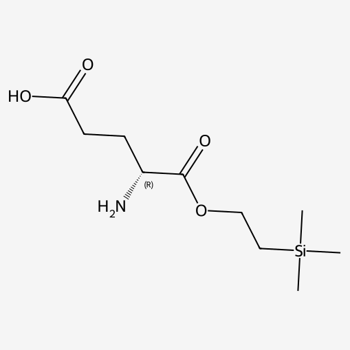 C[Si](C)(C)CCOC(=O)[C@H](N)CCC(=O)O